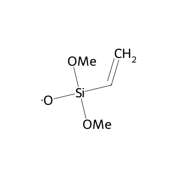 C=C[Si]([O])(OC)OC